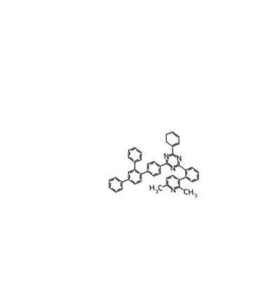 Cc1ccc(-c2ccccc2-c2nc(C3=CC=CCC3)nc(-c3ccc(-c4ccc(-c5ccccc5)cc4-c4ccccc4)cc3)n2)c(C)n1